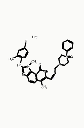 Cc1cc(F)ccc1Nc1nc2ccc3c(C)c(/C=C\CN4CCP(=O)(c5ccccc5)CC4)[nH]c(=O)c3c2n1C.Cl